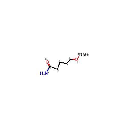 CNOCCCCC(N)=O